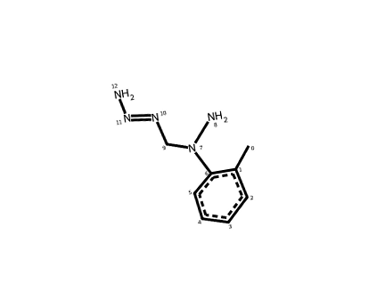 Cc1ccccc1N(N)CN=NN